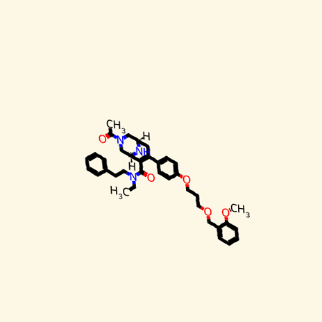 CCN(CCc1ccccc1)C(=O)C1=C(c2ccc(OCCCOCc3ccccc3OC)cc2)C[C@@H]2CN(C(C)=O)C[C@H]1N2